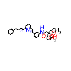 CCC(CC)(CC(=O)Nc1cccc(/C=C/c2cccc(/C=C/CCc3ccccc3)n2)c1)C(=O)O